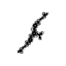 [C-]#[N+]C(C#N)=C1Sc2c(OC(=O)c3ccc(OC(=O)OCCCCOC(=O)C=C)cc3)ccc(OC(=O)c3ccc(OC(=O)OCCCCOC(=O)C=C)cc3)c2S1